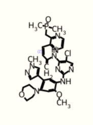 C=C(/C=C\c1nccnc1CP(C)(C)=O)Nc1nc(Nc2cc(-c3cnn(C)c3)c(N3CCOCC3)cc2OC)ncc1Cl